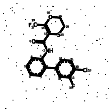 O=C(Nc1ccccc1-c1ccc(Cl)c(F)c1)C1=C(C(F)(F)F)OCCS1